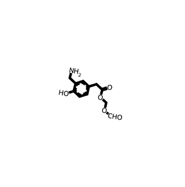 NCc1cc(CC(=O)OCOC=O)ccc1O